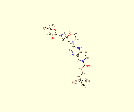 CC(C)(C)OC(=O)N1CC2(C1)CN(c1cnc3c(n1)CCN(C(=O)OCC[Si](C)(C)C)C3)CCO2